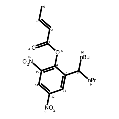 CC=CC(=O)Oc1c(C(CCC)CCCC)cc([N+](=O)[O-])cc1[N+](=O)[O-]